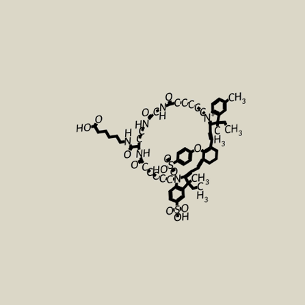 CCC1(C)C2=[N+](CCCCCC(=O)NCC(=O)NCCC(C(=O)NCCCCCC(=O)O)NC(=O)CCCCCN3/C(=C/C=C4\CCCC(=C4Oc4ccc(S(=O)(=O)O)cc4)/C=C/2)C(C)(CC)c2cc(S(=O)(=O)O)ccc23)c2ccc(C)cc21